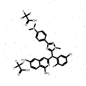 CCc1ccc(F)c(C(c2cc3cc(N)ccc3c(N)n2)c2nc(-c3ccc(N(C)C)cc3)nn2C)c1.O=C(O)C(F)(F)F.O=C(O)C(F)(F)F